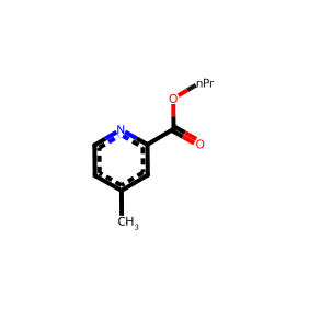 CCCOC(=O)c1cc(C)ccn1